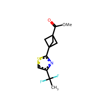 COC(=O)C12CC(c3nc(C(C)(F)F)cs3)(C1)C2